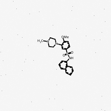 COc1ccc(S(=O)(=O)Nc2cccc3ccccc23)cc1N1CCN(C)CC1